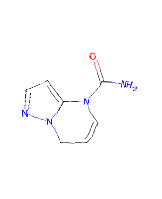 NC(=O)N1C=CCn2nccc21